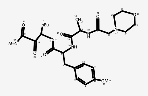 CCCCC(NC(=O)C(Cc1ccc(OC)cc1)NC(=O)C(C)NC(=O)CN1CCOCC1)C(=O)C(=O)NC